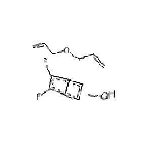 C=CCOCC=C.CO.Fc1c2ccc-2c1F